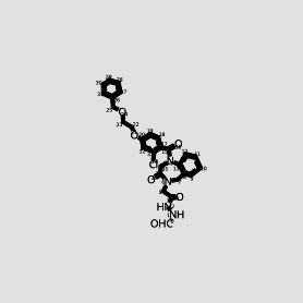 O=CNNC(=O)CN1Cc2ccccc2N(C(=O)c2ccc(OCCOCc3ccccc3)cc2Cl)CC1=O